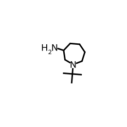 CC(C)(C)N1CCCCC(N)C1